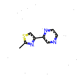 Cc1nc(-c2cnccn2)cs1